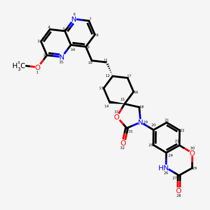 COc1ccc2nccc(CC[C@H]3CC[C@@]4(CC3)CN(c3ccc5c(c3)NC(=O)CO5)C(=O)O4)c2n1